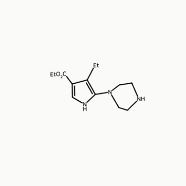 CCOC(=O)c1c[nH]c(N2CCNCC2)c1CC